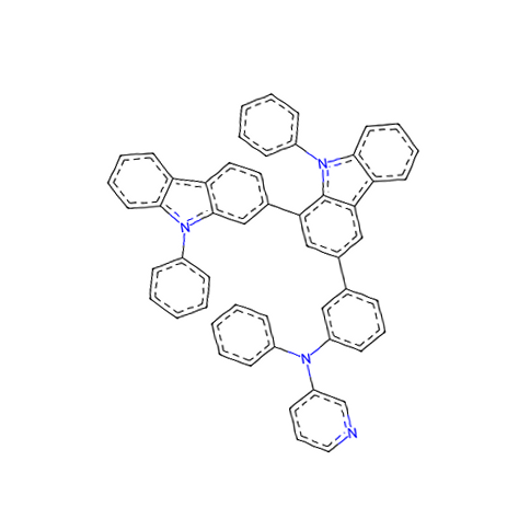 c1ccc(N(c2cccnc2)c2cccc(-c3cc(-c4ccc5c6ccccc6n(-c6ccccc6)c5c4)c4c(c3)c3ccccc3n4-c3ccccc3)c2)cc1